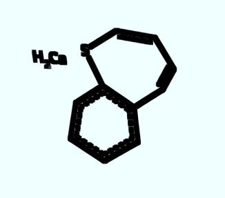 C1=CSc2ccccc2C=C1.[CaH2]